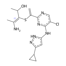 C=C(S/C(=C(/C)N)C(C)O)c1ncc(Cl)c(Nc2cc(C3CC3)n[nH]2)n1